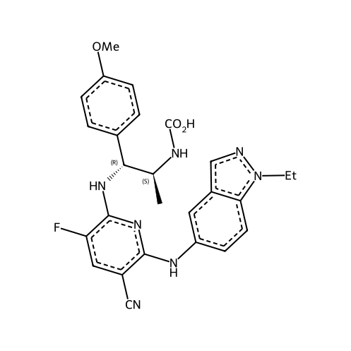 CCn1ncc2cc(Nc3nc(N[C@H](c4ccc(OC)cc4)[C@H](C)NC(=O)O)c(F)cc3C#N)ccc21